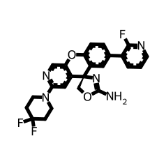 NC1=N[C@@]2(CO1)c1cc(-c3cccnc3F)ccc1Oc1cnc(N3CCC(F)(F)CC3)cc12